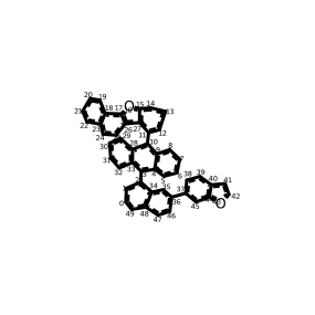 c1cc(-c2c3ccccc3c(-c3cccc4oc5c6ccccc6ccc5c34)c3ccccc23)c2cc(-c3ccc4ccoc4c3)ccc2c1